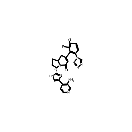 Nc1cnccc1-c1c[nH]c([C@@H]2CCC3CC(c4c(-n5cnnn5)ccc(Cl)c4F)=CC(=O)N32)n1